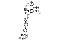 CCN(C(=O)[C@@H]1CCN(CC(=O)N2CC=C(c3ccc(C(=N)/N=C\NC)cc3)CC2)C1)c1ccc(N)c(C(=N)c2ccnc(C(F)(F)F)c2)c1